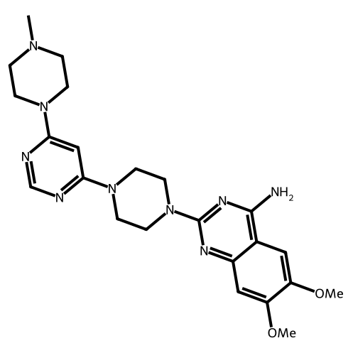 COc1cc2nc(N3CCN(c4cc(N5CCN(C)CC5)ncn4)CC3)nc(N)c2cc1OC